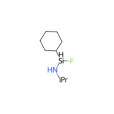 CC(C)N[SiH](F)C1CCCCC1